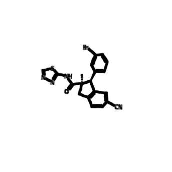 C[C@@]1(C(=O)Nc2nncs2)Cc2ccc(C#N)cc2[C@@H]1c1cccc(Br)c1